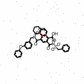 O=C(O)c1cc(C(=O)O)c(C(=O)N(Cc2cccc(Oc3ccccc3)c2)[C@H]2CCCc3ccccc32)cc1C(=O)NS(=O)(=O)Cc1ccccc1